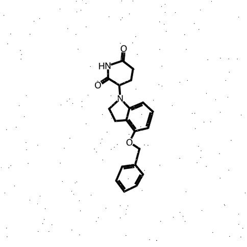 O=C1CCC(N2CCc3c(OCc4ccccc4)cccc32)C(=O)N1